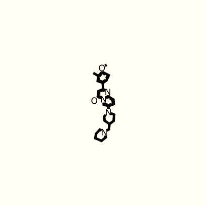 COc1ccc(-c2cc(=O)n3cc(N4CCC(CN5CCCCC5)CC4)ccc3n2)cc1C